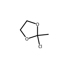 CC1(Cl)OCCO1